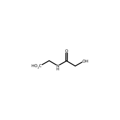 O=C(O)CNC(=O)CO